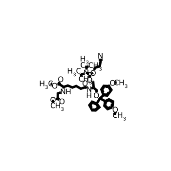 COC(=O)CNC(CCCCC(=O)NC(COP(OCCC#N)N(C(C)C)C(C)C)COC(c1ccccc1)(c1ccc(OC)cc1)c1ccc(OC)cc1)C(=O)OC